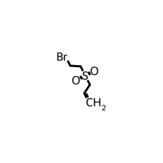 C=CCS(=O)(=O)CCBr